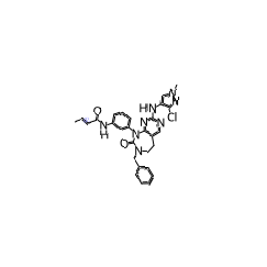 C/C=C/C(=O)Nc1cccc(N2C(=O)N(Cc3ccccc3)CCc3cnc(Nc4cn(C)nc4Cl)nc32)c1